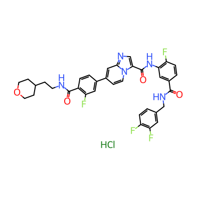 Cl.O=C(NCc1ccc(F)c(F)c1)c1ccc(F)c(NC(=O)c2cnc3cc(-c4ccc(C(=O)NCCC5CCOCC5)c(F)c4)ccn23)c1